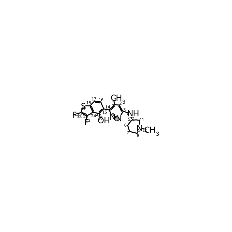 Cc1cc(N[C@H]2CCCN(C)C2)nnc1-c1ccc2sc(F)c(F)c2c1O